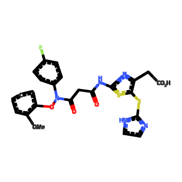 COc1ccccc1ON(C(=O)CC(=O)Nc1nc(CC(=O)O)c(Sc2ncc[nH]2)s1)c1ccc(F)cc1